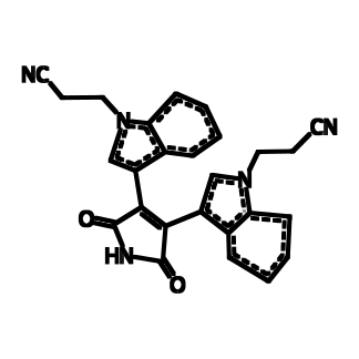 N#CCCn1cc(C2=C(c3cn(CCC#N)c4ccccc34)C(=O)NC2=O)c2ccccc21